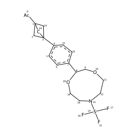 CC(=O)C12CC(c3ccc(C4COCCN(S(F)(F)F)CCO4)cc3)(C1)C2